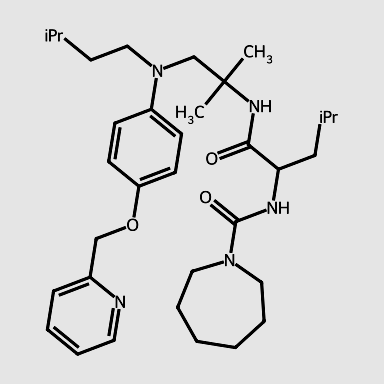 CC(C)CCN(CC(C)(C)NC(=O)C(CC(C)C)NC(=O)N1CCCCCC1)c1ccc(OCc2ccccn2)cc1